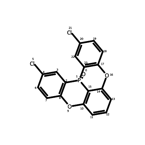 O=P12c3cc(Cl)ccc3Oc3cccc(c31)Oc1ccc(Cl)cc12